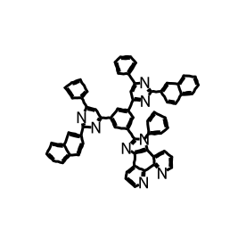 c1ccc(-c2cc(-c3cc(-c4cc(-c5ccccc5)nc(-c5ccc6ccccc6c5)n4)cc(-c4nc5c6cccnc6c6ncccc6c5n4-c4ccccc4)c3)nc(-c3ccc4ccccc4c3)n2)cc1